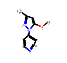 CCOc1cc(C(F)(F)F)nn1-c1ccncc1